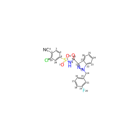 N#Cc1ccc(S(=O)(=O)NC(=O)c2nn(Cc3cccc(F)c3)c3ccccc23)cc1Cl